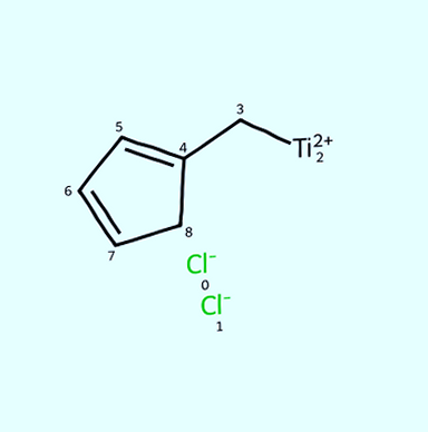 [Cl-].[Cl-].[Ti+2][CH2]C1=CC=CC1